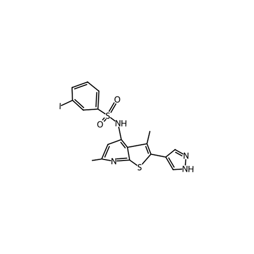 Cc1cc(NS(=O)(=O)c2cccc(I)c2)c2c(C)c(-c3cn[nH]c3)sc2n1